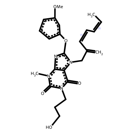 C=C(/C=C\C=C/C)Cn1c(Oc2cccc(OC)c2)nc2c1c(=O)n(CCCO)c(=O)n2C